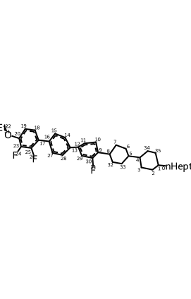 CCCCCCCC1CCC(C2CCC(c3ccc(-c4ccc(-c5ccc(OCC)c(F)c5F)cc4)cc3F)CC2)CC1